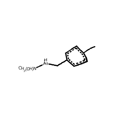 Cc1ccc(C[AsH]N(C)O)cc1